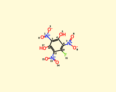 O=[N+]([O-])c1c(O)c([N+](=O)[O-])c(F)c([N+](=O)[O-])c1O